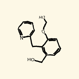 OCOc1cccc(CO)c1Cc1ccccn1